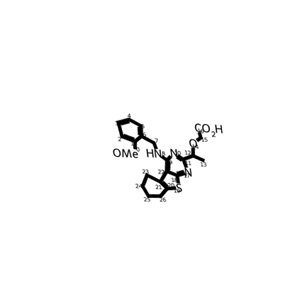 COc1ccccc1CNc1nc(C(C)OCC(=O)O)nc2sc3c(c12)CCCC3